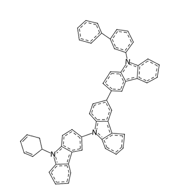 C1=CCC(n2c3ccccc3c3cc(-n4c5ccccc5c5cc(-c6ccc7c(c6)c6ccccc6n7-c6cccc(-c7ccccc7)c6)ccc54)ccc32)C=C1